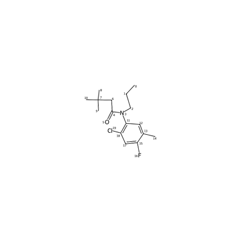 CCCN(C(=O)CC(C)(C)C)c1cc(C)c(F)cc1Cl